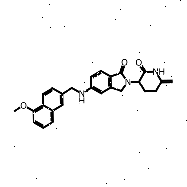 C=C1CCC(N2Cc3cc(NCc4ccc5c(OC)cccc5c4)ccc3C2=O)C(=O)N1